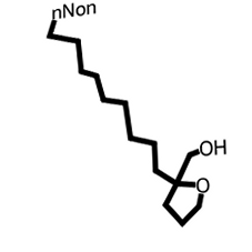 CCCCCCCCCCCCCCCCCCC1(CO)CCCO1